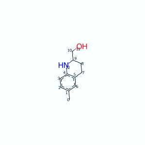 Cc1ccc2c(c1)CCC(CO)N2